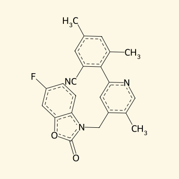 Cc1cc(C)c(-c2cc(Cn3c(=O)oc4cc(F)ccc43)c(C)cn2)c(C#N)c1